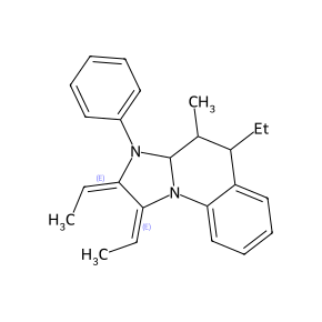 C/C=C1\C(=C/C)N2c3ccccc3C(CC)C(C)C2N1c1ccccc1